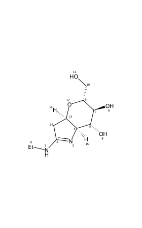 CCNC1=N[C@@H]2[C@@H](O)[C@H](O)[C@@H](CO)O[C@@H]2C1